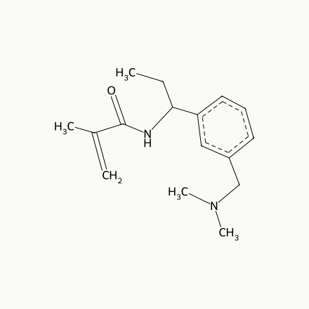 C=C(C)C(=O)NC(CC)c1cccc(CN(C)C)c1